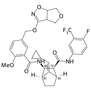 COc1ccc(COC2=NOC3COCC23)cc1C(=O)N[C@H]1[C@@H](C(=O)Nc2ccc(F)c(C(F)(F)F)c2)[C@H]2CC[C@@H]1/C2=C\C1CC1